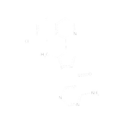 Cc1sc(C(=O)c2cncnc2N)cc1-c1nccc2ccc(Cl)cc12